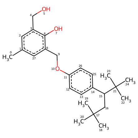 Cc1cc(CO)c(O)c(COc2ccc(C(CC(C)(C)C)C(C)(C)C)cc2)c1